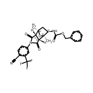 C[C@]12O[C@](C)(C[C@H]1NC(=O)OCc1ccccc1)[C@H]1C(=O)N(c3ccc(C#N)c(C(F)(F)F)c3)C(=O)[C@H]12